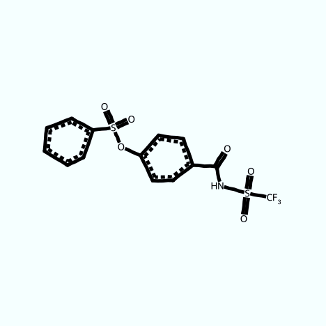 O=C(NS(=O)(=O)C(F)(F)F)c1ccc(OS(=O)(=O)c2ccccc2)cc1